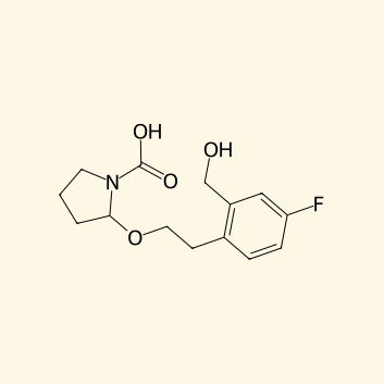 O=C(O)N1CCCC1OCCc1ccc(F)cc1CO